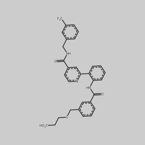 O=C(O)CCSCc1cccc(C(=O)Nc2ccccc2-c2cc(C(=O)NCc3cccc(C(F)(F)F)c3)ccn2)c1